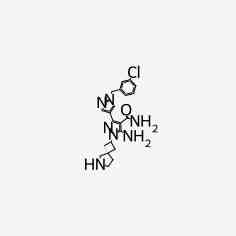 NC(=O)c1c(-c2cnn(Cc3cccc(Cl)c3)c2)nn([C@H]2C[C@@]3(CCNC3)C2)c1N